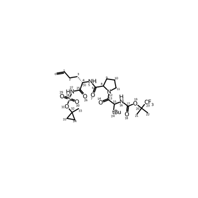 C=CCC[C@H](NC(=O)C1CCCN1C(=O)C(NC(=O)OC(C)(C)C(F)(F)F)C(C)(C)C)C(=O)NS(=O)(=O)OC1(C)CC1